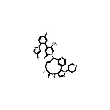 C[C@@H]1C/C=C/[C@H](n2cc(C(F)(F)F)c(-c3cc(Cl)ccc3-n3cc(Cl)nn3)cc2=O)c2cc(ccn2)-c2c(cnn2C2CCOCC2)NC1=O